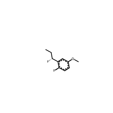 CC[C@@H](I)c1cc(OC)ccc1F